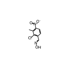 Cc1c([N+](=O)[O-])ccc(C=NO)c1Cl